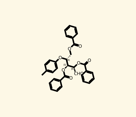 Cc1ccc(O[C@H](COC(=O)c2ccccc2)[C@H](OC(=O)c2ccccc2)[C@H](C=O)OC(=O)c2ccccc2)cc1